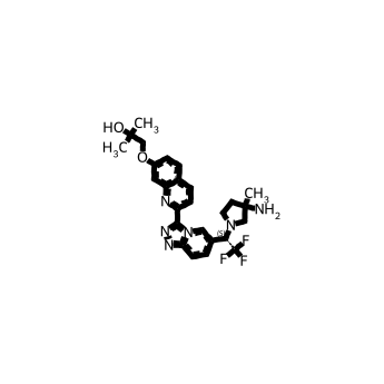 CC(C)(O)COc1ccc2ccc(-c3nnc4ccc([C@H](N5CCC(C)(N)C5)C(F)(F)F)cn34)nc2c1